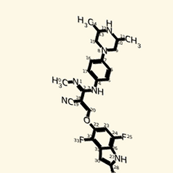 C/N=C(Nc1ccc(N2CC(C)NC(C)C2)cc1)\C(C#N)=C\Oc1cc(F)c2[nH]c(C)cc2c1F